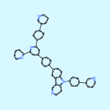 c1ccc(-c2cc(-c3ccc(-c4ccc5c(c4)c4cnccc4n5-c4ccc(-c5cccnc5)cc4)cc3)cc(-c3ccc(-c4cccnc4)cc3)n2)nc1